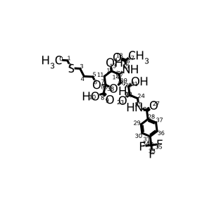 CCSCCCO[C@]1(C(=O)O)CC(O)[C@@H](NC(C)=O)[C@H](C(O)[C@H](O)CNC(=O)c2ccc(C(F)(F)F)cc2)O1